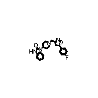 O=c1[nH]c2ccccc2n1C1CCN(CC2=NOC(c3ccc(F)cc3)C2)CC1